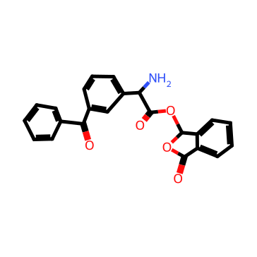 NC(C(=O)OC1OC(=O)c2ccccc21)c1cccc(C(=O)c2ccccc2)c1